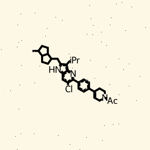 CC(=O)N1CC=C(c2ccc(-c3nc4c(C(C)C)c(CC5CCC6C(C)CCC56)[nH]c4cc3Cl)cc2)CC1